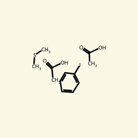 CC(=O)O.CC(=O)O.CSC.Ic1ccccc1